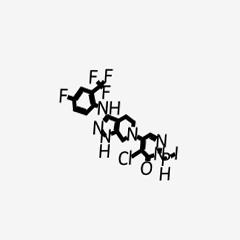 O=c1c(Cl)c(N2CCc3c(Nc4ccc(F)cc4C(F)(F)F)n[nH]c3C2)cnn1PI